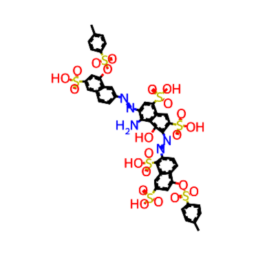 Cc1ccc(S(=O)(=O)Oc2cc(S(=O)(=O)O)cc3ccc(N=Nc4cc(S(=O)(=O)O)c5cc(S(=O)(=O)O)c(N=Nc6ccc7c(OS(=O)(=O)c8ccc(C)cc8)cc(S(=O)(=O)O)cc7c6S(=O)(=O)O)c(O)c5c4N)cc23)cc1